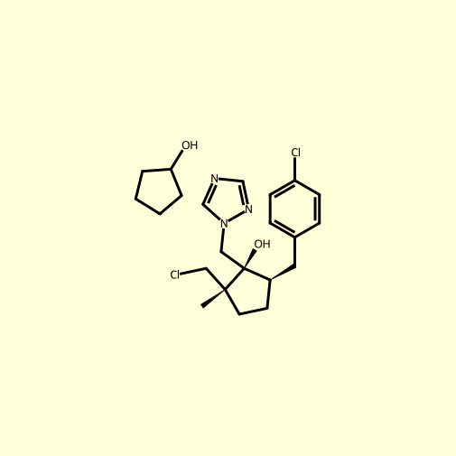 C[C@]1(CCl)CC[C@H](Cc2ccc(Cl)cc2)[C@@]1(O)Cn1cncn1.OC1CCCC1